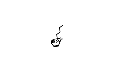 CCCCC12C=CC=CC1(O)S2